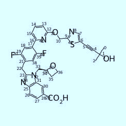 CC(C)(O)C#Cc1cnc(COc2cccc(-c3cc(F)c(Cc4nc5ccc(C(=O)O)cc5n4C[C@@H]4CCO4)cc3F)n2)s1